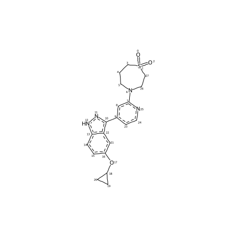 O=S1(=O)CCCN(c2cc(-c3n[nH]c4ccc(OC5CC5)cc34)ccn2)CC1